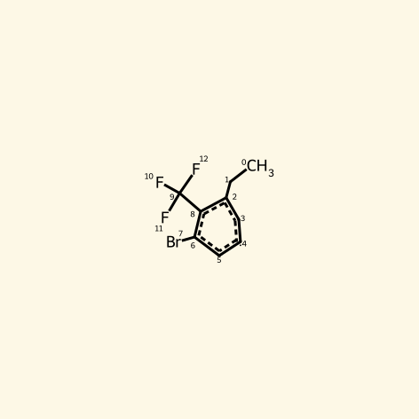 CCc1c[c]cc(Br)c1C(F)(F)F